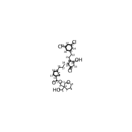 O=C(OCC1(CO)CCCOC1)c1ccc(CCC[C@@H]2[C@@H](CCc3cc(Cl)cc(Cl)c3)[C@H](O)C[C@H]2Cl)s1